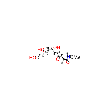 C=C(C[C@H](O)CCCO)[C@@H](O)CC[C@@H](O)CC(C)C(=O)N(C)OC